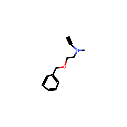 C#CN(C)CCOCc1ccccc1